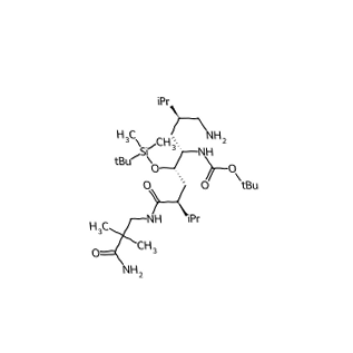 CC(C)[C@@H](CN)C[C@H](NC(=O)OC(C)(C)C)[C@H](C[C@H](C(=O)NCC(C)(C)C(N)=O)C(C)C)O[Si](C)(C)C(C)(C)C